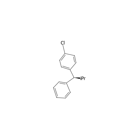 CC(C)[C@@H](c1ccccc1)c1ccc(Cl)cc1